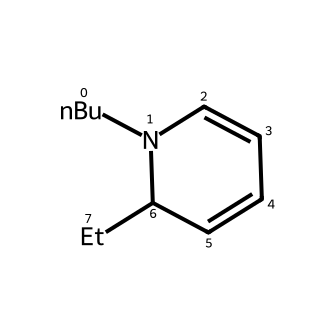 CCCCN1C=CC=CC1CC